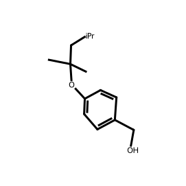 CC(C)CC(C)(C)Oc1ccc(CO)cc1